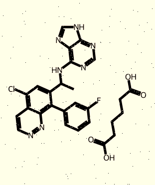 CC(Nc1ncnc2[nH]cnc12)c1cc(Cl)c2ccnnc2c1-c1cccc(F)c1.O=C(O)CCCCC(=O)O